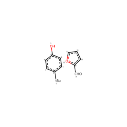 CC(C)(C)c1ccc(O)cc1.O=Cc1ccco1